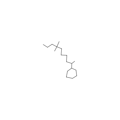 CCCC(C)(C)CCCCC(C)C1CCCCC1